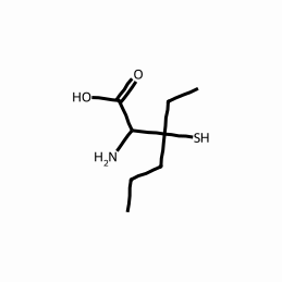 CCCC(S)(CC)C(N)C(=O)O